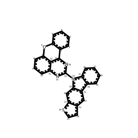 c1ccc2c(c1)Oc1cccc3nc(-n4c5ccccc5c5cc6ccsc6cc54)nc-2c13